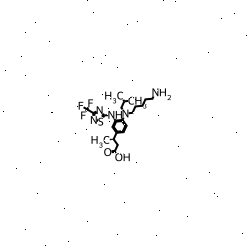 CC(C)CN(CCCCCN)c1ccc([C@H](C)CC(=O)O)cc1Nc1nc(C(F)(F)F)ns1